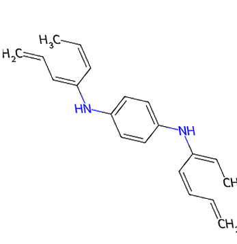 C=C/C=C\C(=C/C)Nc1ccc(NC(/C=C\C)=C/C=C)cc1